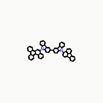 c1ccc2c(c1)-c1cccc3c(-n4c5ccccc5c5cc(-c6ccc7c(c6)c6ccccc6n7-c6cc7c8ccccc8c8ccccc8c7c7ccccc67)ccc54)ccc-2c13